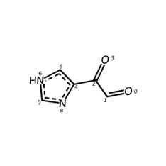 O=CC(=O)c1c[nH][c]n1